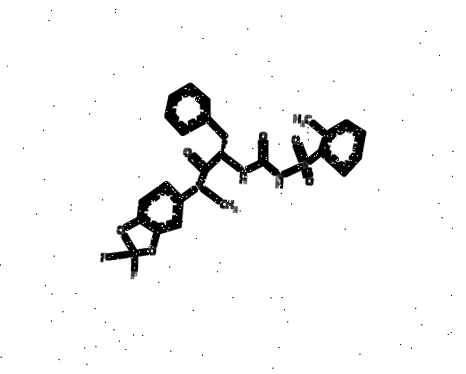 Cc1ccccc1S(=O)(=O)NC(=O)N[C@@H](Cc1ccccc1)C(=O)N(C)c1ccc2c(c1)OC(F)(F)O2